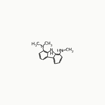 CNc1cccc2c1[nH]c1c(N(C)C)cccc12